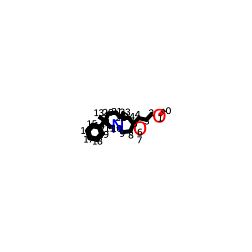 COCCCC1(OC)CCN2CC(C)(c3ccccc3)CCC2(C)C1